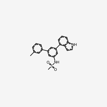 Cc1cccc(-c2cc(NS(C)(=O)=O)cc(-c3cccc4[nH]ccc34)c2)c1